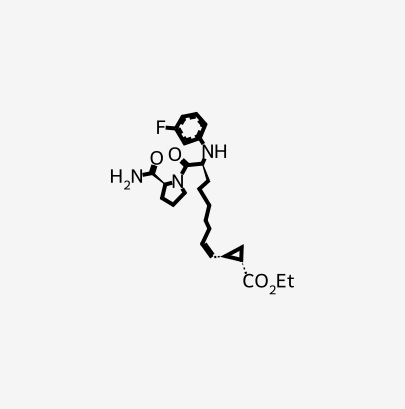 CCOC(=O)[C@H]1C[C@H]1/C=C\CCCCC[C@H](Nc1cccc(F)c1)C(=O)N1CCC[C@H]1C(N)=O